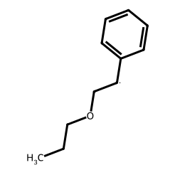 CCCOC[CH]c1ccccc1